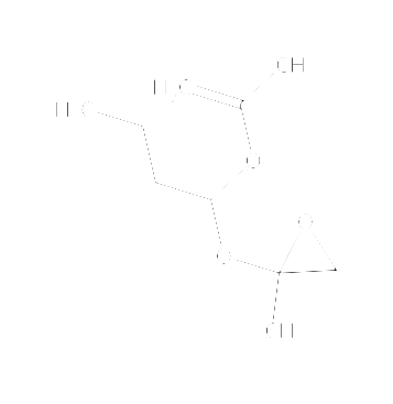 C=C(C)OC(CCC)OC1(C)CO1